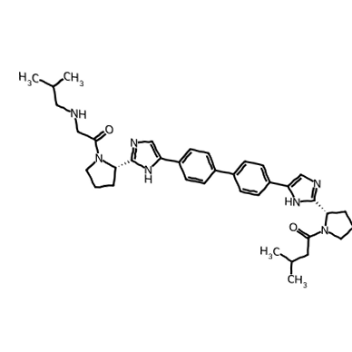 CC(C)CNCC(=O)N1CCC[C@H]1c1ncc(-c2ccc(-c3ccc(-c4cnc([C@@H]5CCCN5C(=O)CC(C)C)[nH]4)cc3)cc2)[nH]1